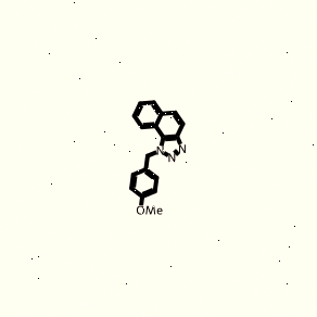 COc1ccc(Cn2nnc3ccc4ccccc4c32)cc1